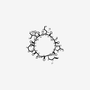 C=C[C@H](C)C[C@@H]1NC(=O)[C@H](CC(C)C)NC(=O)[C@H](C)NC(=O)C([C@@H](C)CC)NC(=O)C([C@H](O)C(C)C)NC(=O)[C@H]2CCCCN2C(=O)[C@H](C)NC1=O